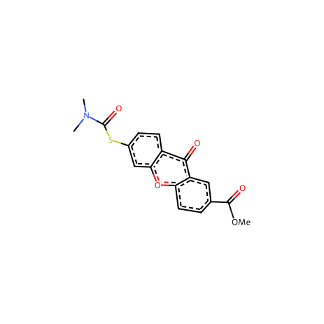 COC(=O)c1ccc2oc3cc(SC(=O)N(C)C)ccc3c(=O)c2c1